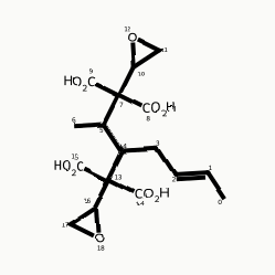 CC=CCC(C(C)C(C(=O)O)(C(=O)O)C1CO1)C(C(=O)O)(C(=O)O)C1CO1